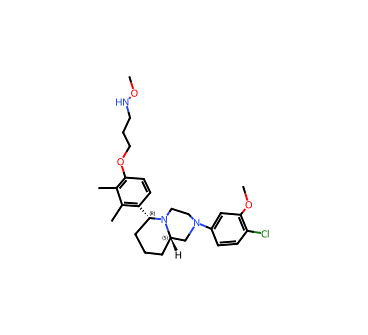 CONCCCOc1ccc([C@H]2CCC[C@H]3CN(c4ccc(Cl)c(OC)c4)CCN32)c(C)c1C